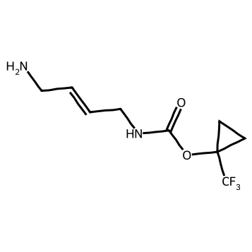 NC/C=C/CNC(=O)OC1(C(F)(F)F)CC1